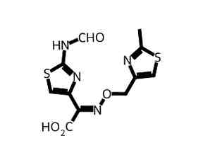 Cc1nc(CO/N=C(/C(=O)O)c2csc(NC=O)n2)cs1